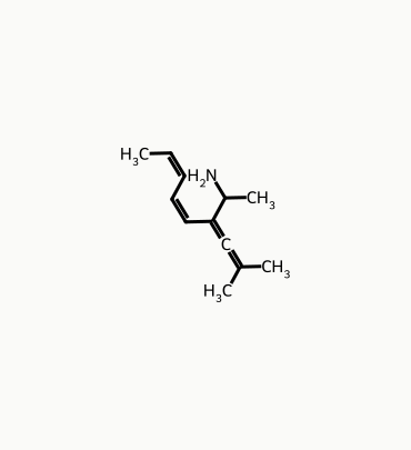 C/C=C\C=C/C(=C=C(C)C)C(C)N